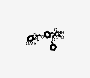 COc1ccc2nc(COc3ccc(C[C@]4(C(=O)OCc5ccccc5)SC(=O)NC4=O)cc3)n(C)c2c1